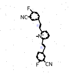 C[n+]1c(/C=C/c2ccc(F)c(C#N)c2)cccc1/C=C/c1ccc(F)c(C#N)c1